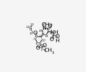 CCS(=O)(=O)c1ccc(OCC2CC2)c(-c2cc(NC(=O)O)c(=O)n(C)c2)c1